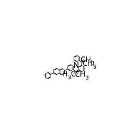 CC1(C)c2ccccc2N2c3ccc(-c4ccc5cc(-c6ccccc6)ccc5c4)cc3C(C)(C)c3cccc1c32